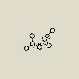 c1ccc(-c2cc(-c3ccccc3)nc(-c3cccc(-n4c5ccccc5c5c6sc(-c7ccccc7)cc6ccc54)n3)c2)cc1